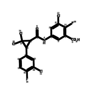 O=C(O)c1cc(NC(=O)C2C(c3ccc(F)c(Cl)c3)C2(Cl)Cl)cc(Cl)c1F